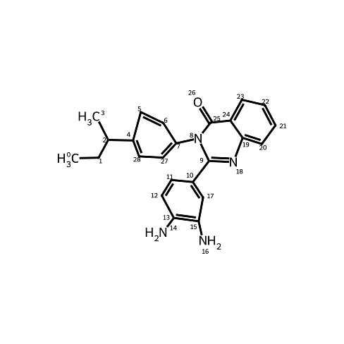 CCC(C)c1ccc(-n2c(-c3ccc(N)c(N)c3)nc3ccccc3c2=O)cc1